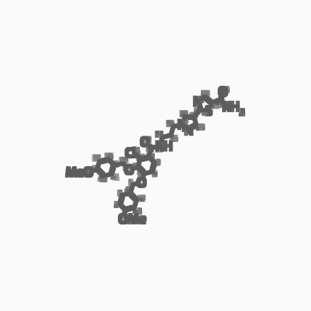 COc1ccc(COc2ccc(C(=O)NCCCn3cc(-c4ncc(C(N)=O)s4)cn3)c(Cl)c2OCc2ccc(OC)cc2)cc1